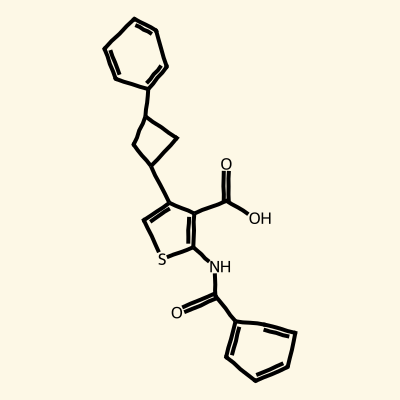 O=C(Nc1scc(C2CC(c3ccccc3)C2)c1C(=O)O)c1ccccc1